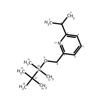 CC(C)c1cccc(CO[Si](C)(C)C(C)(C)C)n1